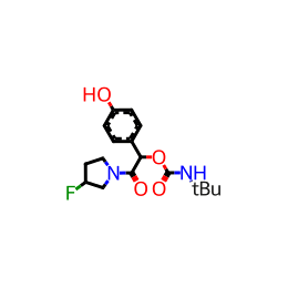 CC(C)(C)NC(=O)OC(C(=O)N1CCC(F)C1)c1ccc(O)cc1